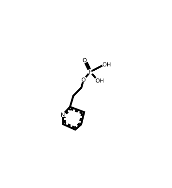 O=P(O)(O)OCCc1ccccn1